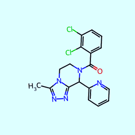 Cc1nnc2n1CCN(C(=O)c1cccc(Cl)c1Cl)C2c1ccccn1